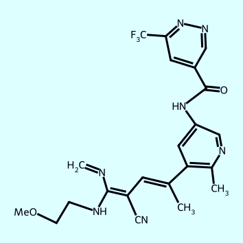 C=N/C(NCCOC)=C(C#N)\C=C(/C)c1cc(NC(=O)c2cnnc(C(F)(F)F)c2)cnc1C